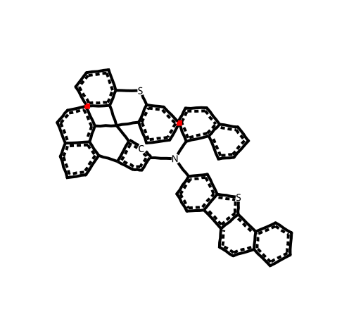 c1ccc2c(c1)Sc1ccccc1C21c2cc(N(c3ccc4c(c3)sc3c5ccccc5ccc43)c3cccc4ccccc34)ccc2-c2cccc3cccc1c23